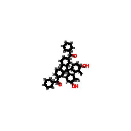 Cc1cc(C2(c3ccc(O)c(C)c3)c3cc(C(=O)c4ccccc4)ccc3-c3ccc(C(=O)c4ccccc4)cc32)ccc1O